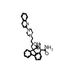 CN(C)C(C(N)=O)c1cccc2c1C(CCCCN1CCN(c3ccc4ccccc4n3)CC1)(C(=O)O)c1ccccc1-2